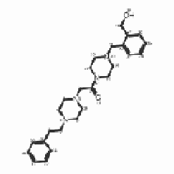 O=C(CN1CCN(CCc2ccccc2)CC1)N1CCN(Cc2ccccc2CO)CC1